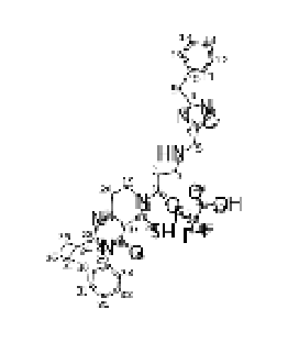 O=C(CCNCc1nc(Cc2ccccc2)no1)N1CCc2nc(C3CCC3)n(-c3ccccc3)c(=O)c2C1S.O=C(O)C(F)(F)F